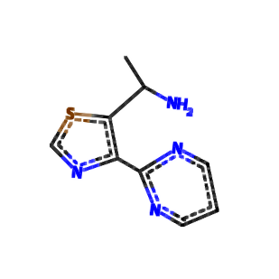 CC(N)c1scnc1-c1ncccn1